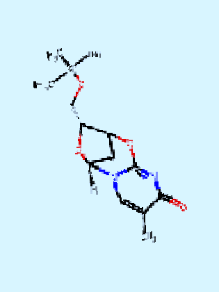 Cc1cn2c(nc1=O)OC1C[C@H]2O[C@@H]1CO[Si](C)(C)C(C)(C)C